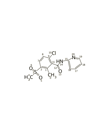 Cc1c(S(C)(=O)=O)ccc(Cl)c1C(=O)Nc1ccccn1